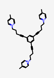 Cc1cc[n+](CCCC#Cc2cc(C#CCCC[n+]3ccc(C)cc3)cc(C#CCCC[n+]3ccc(C)cc3)c2)cc1